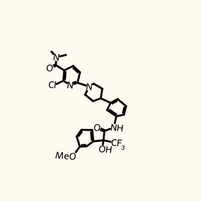 COc1cccc(C(O)(C(=O)Nc2cccc(C3CCN(c4ccc(C(=O)N(C)C)c(Cl)n4)CC3)c2)C(F)(F)F)c1